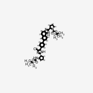 CC(C)(C)OC(=O)N[C@H]1CCC[C@H]1c1nc(Cl)c(-c2ccc(-c3ccc4c(ccc5nc(C6CCCN6C(=O)OC(C)(C)C)[nH]c54)c3)cc2)[nH]1